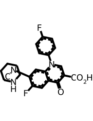 O=C(O)c1cn(-c2ccc(F)cc2)c2cc(N3CC4CCC3CN4)c(F)cc2c1=O